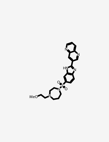 COCCN1CCCN(S(=O)(=O)c2ccc3nc(-c4cnc5cccnc5c4)[nH]c3c2)CC1